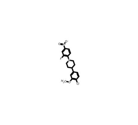 COc1cc(C2CCN(c3ccc([N+](=O)[O-])cc3F)CC2)ccc1Cl